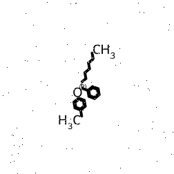 CCCCCCCC[C@@H](Oc1ccc(CC)cc1)c1ccccc1